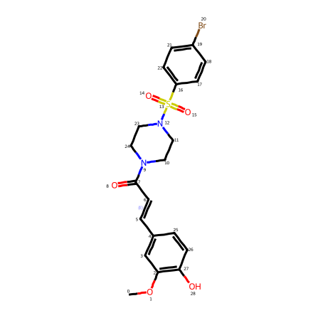 COc1cc(/C=C/C(=O)N2CCN(S(=O)(=O)c3ccc(Br)cc3)CC2)ccc1O